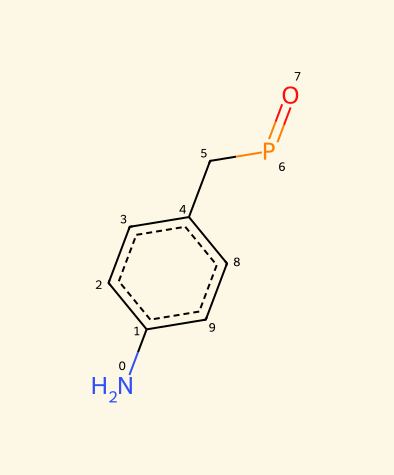 Nc1ccc(CP=O)cc1